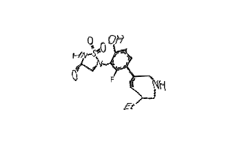 CCC1C=C(c2ccc(O)c(N3CC(=O)NS3(=O)=O)c2F)CNC1